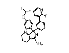 NC1=N[C@@](c2ccc(OC(F)F)cc2)(c2cccc(-c3cccnc3F)c2)C2=NCCCN12